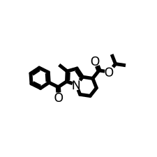 Cc1cc2n(c1C(=O)c1ccccc1)CCCC2C(=O)OC(C)C